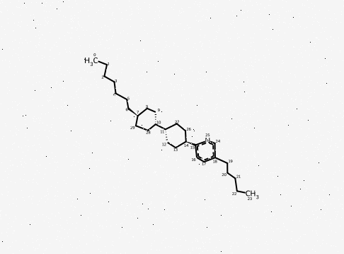 CCCCCCC[C@H]1CC[C@H]([C@H]2CC[C@H](c3ccc(CCCCC)cn3)CC2)CC1